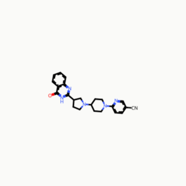 N#Cc1ccc(N2CCC(N3CCC(c4nc5ccccc5c(=O)[nH]4)C3)CC2)nc1